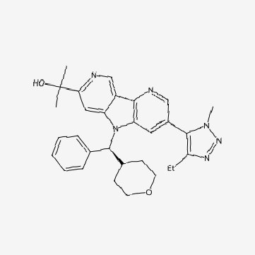 CCc1nnn(C)c1-c1cnc2c3cnc(C(C)(C)O)cc3n([C@H](c3ccccc3)C3CCOCC3)c2c1